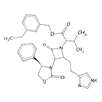 CCc1cccc(COC(=O)C(C(C)C)N2C(=O)C(N3C(=O)OC[C@H]3c3ccccc3)C2CCc2c[nH]cn2)c1